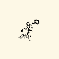 CN(C(=O)C=CCNc1cc2c(NCCc3ccccc3)ncnc2cc1OCC1CC1)C1CCOCC1